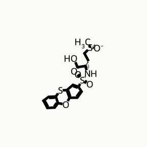 C[S+]([O-])CC[C@H](NS(=O)(=O)c1ccc2c(c1)Sc1ccccc1O2)C(=O)O